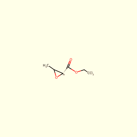 CC1O[C@H]1C(=O)OCC(Cl)(Cl)Cl